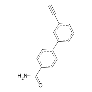 C#Cc1cccc(-c2ccc(C(N)=O)cc2)c1